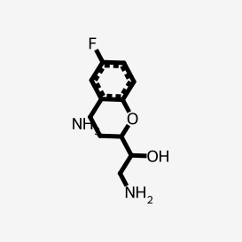 N.NCC(O)C1CCc2cc(F)ccc2O1